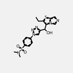 CCc1sc2cncn2c1C(O)c1cn(-c2ccc(S(=O)(=O)N(C)C)cc2)nn1